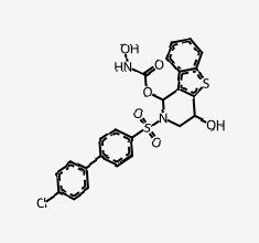 O=C(NO)OC1c2c(sc3ccccc23)C(O)CN1S(=O)(=O)c1ccc(-c2ccc(Cl)cc2)cc1